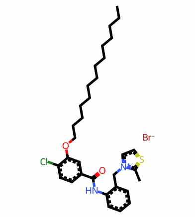 CCCCCCCCCCCCCCOc1cc(C(=O)Nc2ccccc2C[n+]2ccsc2C)ccc1Cl.[Br-]